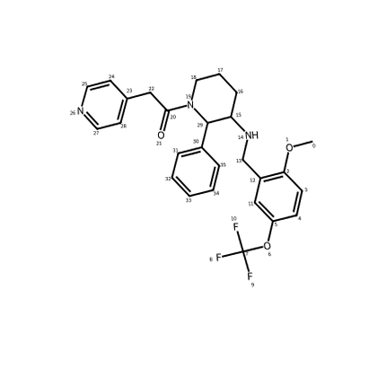 COc1ccc(OC(F)(F)F)cc1CNC1CCCN(C(=O)Cc2ccncc2)C1c1ccccc1